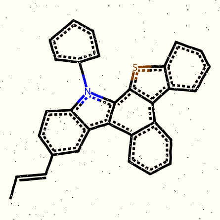 C/C=C/c1ccc2c(c1)c1c3ccccc3c3c4ccccc4sc3c1n2-c1ccccc1